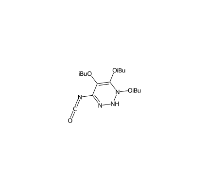 CC(C)COC1=C(OCC(C)C)N(OCC(C)C)NN=C1N=C=O